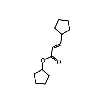 O=C(/C=C/C1CCCC1)OC1CCCC1